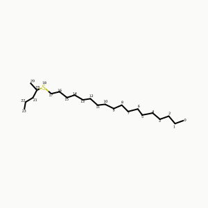 CCCCCCCCCCCCCCCCCCSC(C)CCC